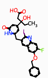 CCC(O)(CC(=O)O)c1cc(Cc2cc3cc(OCc4ccccc4)c(F)cc3nc2I)[nH]c(=O)c1